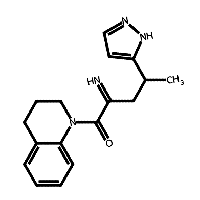 CC(CC(=N)C(=O)N1CCCc2ccccc21)c1ccn[nH]1